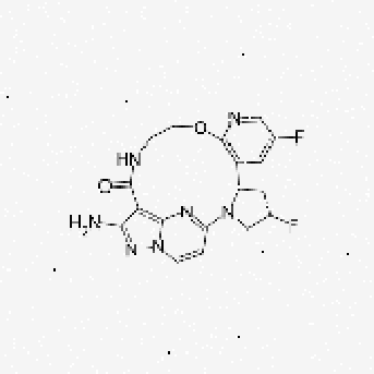 Nc1nn2ccc3nc2c1C(=O)NCCOc1ncc(F)cc1C1CC(F)CN31